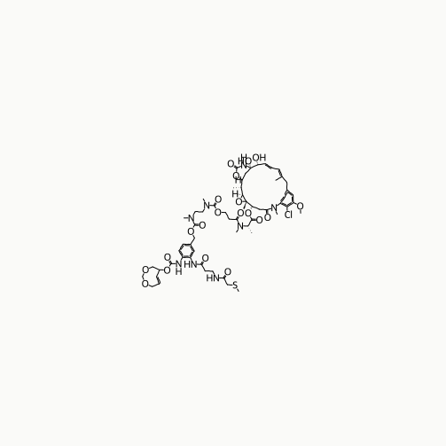 COc1cc2cc(c1Cl)N(C)C(=O)C[C@H](OC(=O)[C@H](C)N(C)C(=O)CCOC(=O)N(C)CCN(C)C(=O)OCc1ccc(NC(=O)OC3/C=C/COCOC3)c(NC(=O)CCNC(=O)CSC)c1)[C@]1(C)O[C@H]1[C@H](C)[C@@H]1C[C@@](O)(NC(=O)O1)[C@H](O)/C=C/C=C(\C)C2